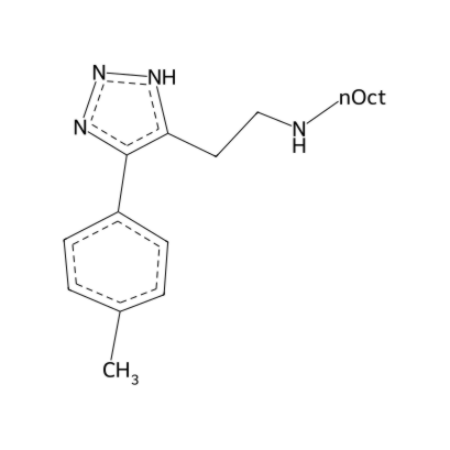 CCCCCCCCNCCc1[nH]nnc1-c1ccc(C)cc1